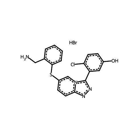 Br.NCc1ccccc1Sc1ccc2nnc(-c3cc(O)ccc3Cl)n2c1